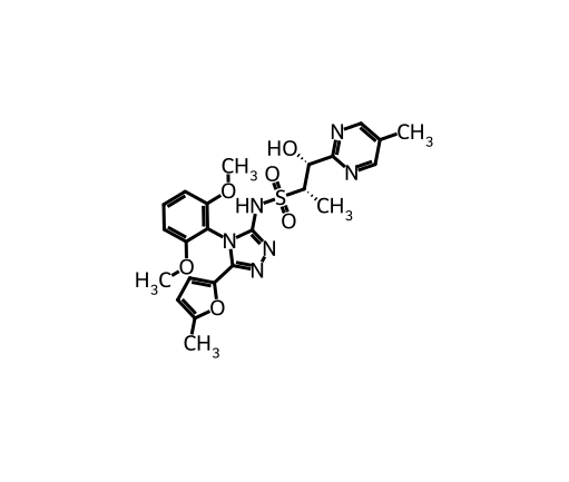 COc1cccc(OC)c1-n1c(NS(=O)(=O)[C@@H](C)[C@H](O)c2ncc(C)cn2)nnc1-c1ccc(C)o1